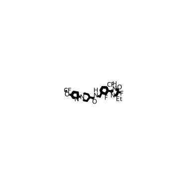 CCc1nc(-c2c(C(F)(F)F)ccc(CNC(=O)C3CCN(c4ccc(OC(F)(F)F)cn4)CC3)c2F)[nH]c(=O)c1F